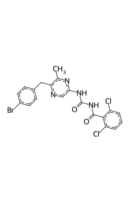 Cc1nc(NC(=O)NC(=O)c2c(Cl)cccc2Cl)cnc1Cc1ccc(Br)cc1